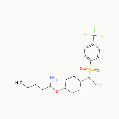 CCCCC(N)OC1CCC(N(C)S(=O)(=O)c2ccc(C(F)(F)F)cc2)CC1